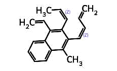 C=C/C=C\c1c(/C=C\C)c(C=C)c2ccccc2c1C